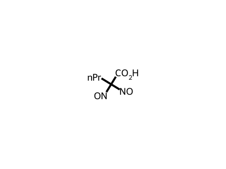 CCCC(N=O)(N=O)C(=O)O